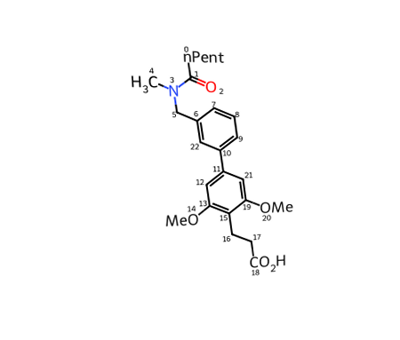 CCCCCC(=O)N(C)Cc1cccc(-c2cc(OC)c(CCC(=O)O)c(OC)c2)c1